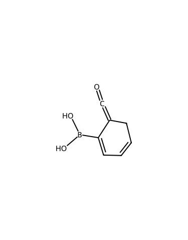 O=C=C1CC=CC=C1B(O)O